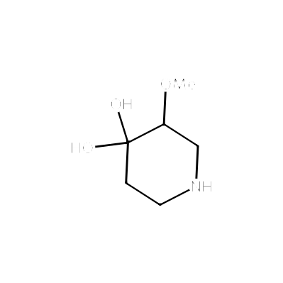 COC1CNCCC1(O)O